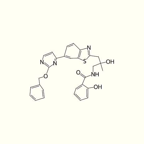 CC(O)(CNC(=O)c1ccccc1O)Cc1nc2ccc(-c3ccnc(OCc4ccccc4)n3)cc2s1